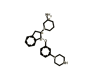 N[C@H]1CCCN([C@@H]2Cc3ccccc3[C@H]2Oc2cccc(N3CCNCC3)c2)C1